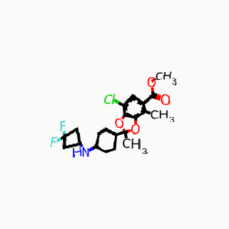 COC(=O)c1cc(Cl)c2c(c1C)OC(C)(C1CCC(NC3CC(F)(F)C3)CC1)O2